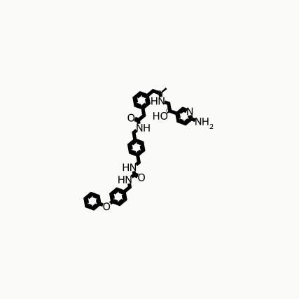 C[C@H](Cc1cccc(CC(=O)NCc2ccc(CNC(=O)NCc3ccc(Oc4ccccc4)cc3)cc2)c1)NC[C@@H](O)c1ccc(N)nc1